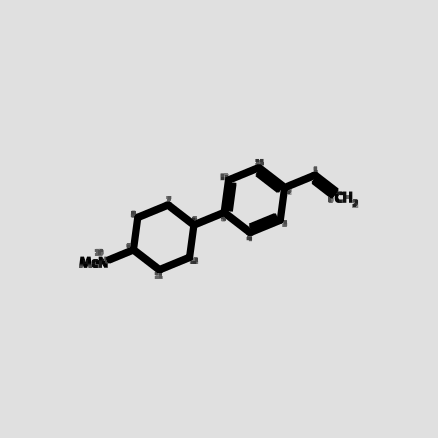 C=Cc1ccc(C2CCC(NC)CC2)cc1